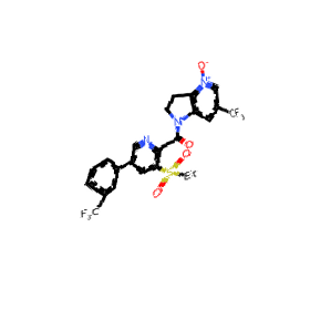 CCS(=O)(=O)c1cc(-c2cccc(C(F)(F)F)c2)cnc1C(=O)N1CCc2c1cc(C(F)(F)F)c[n+]2[O-]